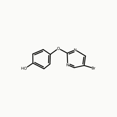 Oc1ccc(Oc2ncc(Br)cn2)cc1